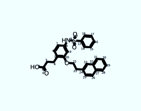 O=C(O)CCc1ccc(NS(=O)(=O)c2ccccc2)cc1OCCc1ccc2ccccc2c1